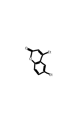 CCc1ccc2oc(=O)cc(CC)c2c1